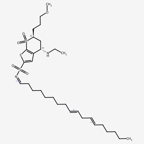 CCCCC/C=C/C/C=C/CCCCCCC/C=N\S(=O)(=O)c1cc2c(s1)S(=O)(=O)[C@@H](CCCOC)C[C@@H]2NCC